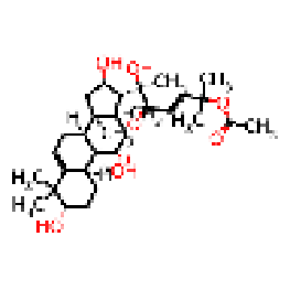 CC(=O)OC(C)(C)/C=C/C(=O)[C@](C)(O)[C@H]1[C@H](O)C[C@@]2(C)[C@@H]3CC=C4[C@@H](CC[C@H](O)C4(C)C)[C@]3(CO)C(=O)C[C@]12C